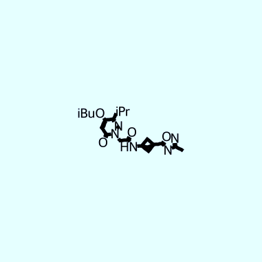 Cc1noc(C23CC(NC(=O)Cn4nc(C(C)C)c(OCC(C)C)cc4=O)(C2)C3)n1